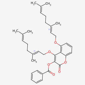 CC(C)=CCC/C(C)=C/COc1cccc2oc(=O)c(OC(=O)c3ccccc3)c(OC/C=C(\C)CCC=C(C)C)c12